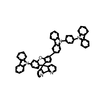 c1cnc2c(c1)C1(c3ccc(-c4ccc5c(c4)c4ccccc4n5-c4ccc(-n5c6ccccc6c6ccccc65)cc4)cc3Oc3cc(-n4c5ccccc5c5ccccc54)ccc31)c1cccnc1-2